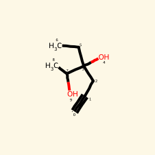 [C]#CCC(O)(CC)C(C)O